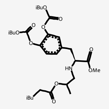 CCC(C)CC(=O)OC(C)CN[C@@H](Cc1ccc(OC(=O)OCC(C)C)c(OC(=O)OCC(C)C)c1)C(=O)OC